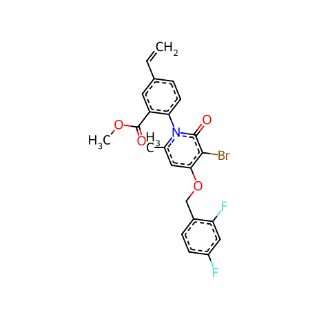 C=Cc1ccc(-n2c(C)cc(OCc3ccc(F)cc3F)c(Br)c2=O)c(C(=O)OC)c1